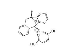 C[C@]12N[C@H](Cc3ccccc31)c1ccccc12.O=C(O)/C=C\C(=O)O